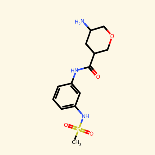 CS(=O)(=O)Nc1cccc(NC(=O)C2COCC(N)C2)c1